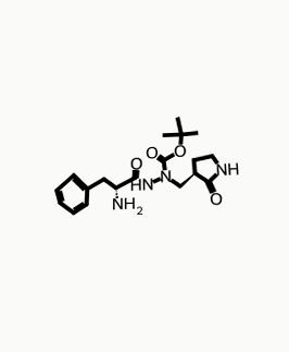 CC(C)(C)OC(=O)N(C[C@H]1CCNC1=O)NC(=O)[C@H](N)Cc1ccccc1